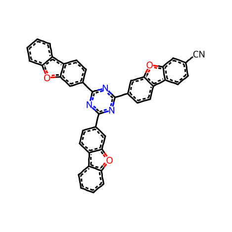 N#Cc1ccc2c(c1)oc1cc(-c3nc(-c4ccc5c(c4)oc4ccccc45)nc(-c4ccc5c(c4)oc4ccccc45)n3)ccc12